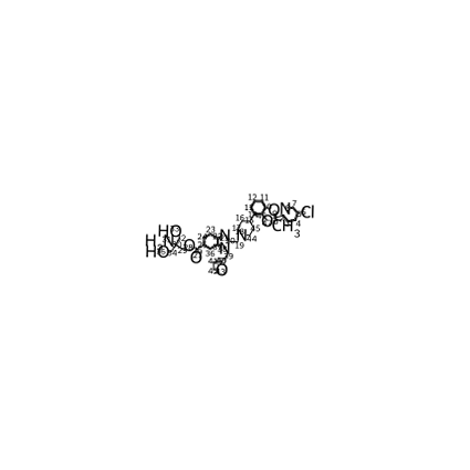 CC1(c2ccc(Cl)cn2)Oc2cccc(C3CCN(Cc4nc5ccc(C(=O)OCC(N)(CO)CO)cc5n4C[C@@H]4CCO4)CC3)c2O1